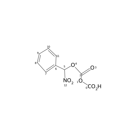 O=C(O)OC(=O)OC(c1ccccc1)[N+](=O)[O-]